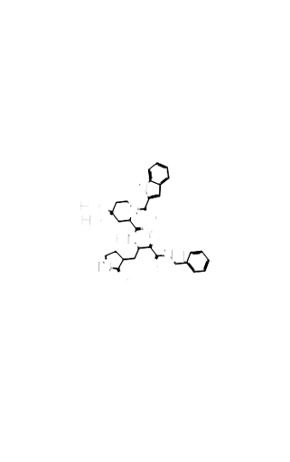 CC1(C)CCN(C(=O)c2cc3ccccc3[nH]2)C(C(=O)NC(CC2CCNC2=O)C(=O)C(=O)NCc2ccccc2)C1